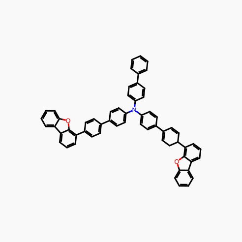 C1=CC(c2cccc3c2oc2ccccc23)CC=C1c1ccc(N(c2ccc(-c3ccccc3)cc2)c2ccc(-c3ccc(-c4cccc5c4oc4ccccc45)cc3)cc2)cc1